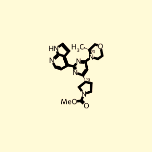 COC(=O)N1CC[C@@H](c2cc(N3CCOC[C@H]3C)nc(-c3ccnc4[nH]ccc34)n2)C1